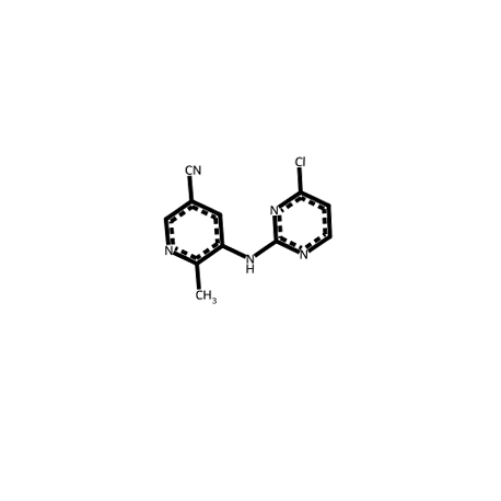 Cc1ncc(C#N)cc1Nc1nccc(Cl)n1